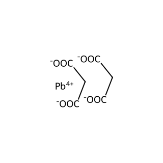 O=C([O-])CC(=O)[O-].O=C([O-])CC(=O)[O-].[Pb+4]